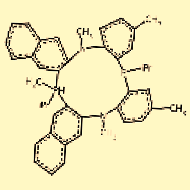 Cc1ccc2c(c1)P(C(C)C)c1cc(C)ccc1N(C)c1cc3ccccc3cc1[PH](C)(C(C)C)c1cc3ccccc3cc1N2C